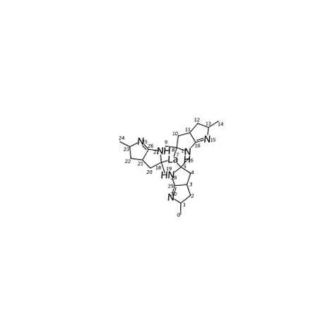 CC1CC2C[C](C)([La]([C]3(C)CC4CC(C)N=C4N3)[C]3(C)CC4CC(C)N=C4N3)NC2=N1